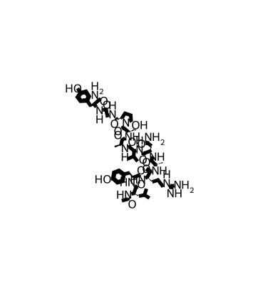 CC(=O)N[C@@H](CC(C)C)C(=O)N[C@@H](Cc1ccc(O)cc1)C(=O)N[C@@H](CCCNC(=N)N)C(=O)N[C@@H](C)C(=O)N[C@@H](CC(N)=O)C(=O)NC(C(=O)N[C@@H](C)C(=O)N[C@@H](CO)C(=O)N1CCC[C@H]1C(=O)NCC(=O)N[C@@H](Cc1ccc(O)cc1)C(N)=O)C(C)C